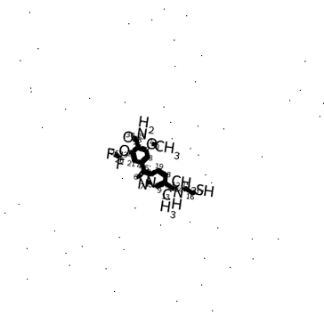 COc1cc(-c2cnn3cc(C(C)(C)NCCS)ccc23)cc(OC(F)F)c1C(N)=O